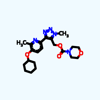 Cc1nc(-c2nnn(C)c2COC(=O)N2CCOCC2)ccc1OC1CCCCC1